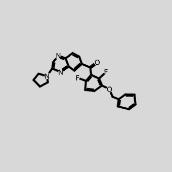 O=C(c1ccc2ncc(N3CCCC3)nc2c1)c1c(F)ccc(OCc2ccccc2)c1F